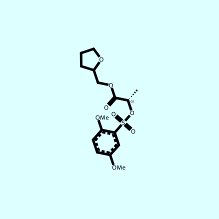 COc1ccc(OC)c(S(=O)(=O)O[C@@H](C)C(=O)OCC2CCCO2)c1